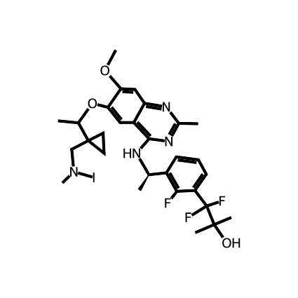 COc1cc2nc(C)nc(N[C@H](C)c3cccc(C(F)(F)C(C)(C)O)c3F)c2cc1OC(C)C1(CN(C)I)CC1